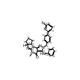 CN1C(=O)c2c(nn(Cc3ccc(-c4cccc(F)n4)cc3)c2Nc2ccccc2)N2C1=N[C@@H]1CCCC12